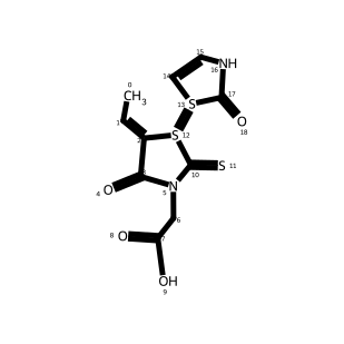 CC=C1C(=O)N(CC(=O)O)C(=S)S1=S1C=CNC1=O